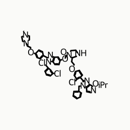 CC(C)Oc1nccc2c1nc(-c1ccc(OCCC3CNCCN3C(=O)Oc3ccc4c(c3)nc(-c3ccc(OCCN5CCN(C)CC5)cc3Cl)n4Cc3cccc(Cl)c3)cc1Cl)n2Cc1ccccc1